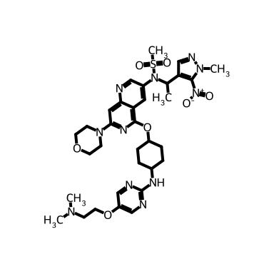 CC(c1cnn(C)c1[N+](=O)[O-])N(c1cnc2cc(N3CCOCC3)nc(OC3CCC(Nc4ncc(OCCN(C)C)cn4)CC3)c2c1)S(C)(=O)=O